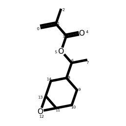 C=C(C)C(=O)OC(C)C1CCC2OC2C1